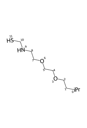 CC(C)CCOCCOCCNCS